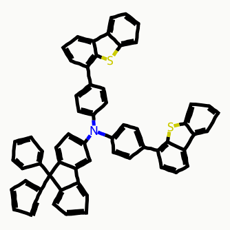 c1ccc(C2(c3ccccc3)c3ccccc3-c3cc(N(c4ccc(-c5cccc6c5sc5ccccc56)cc4)c4ccc(-c5cccc6c5sc5ccccc56)cc4)ccc32)cc1